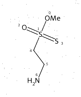 COS(=O)(=S)CCN